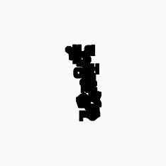 Cc1cn2cc(NC(=O)c3cnc(N4CC(CN5CC[C@H](F)C5C5CCCC5)C4)cn3)cc(Cl)c2n1